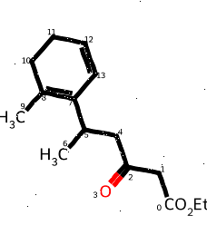 CCOC(=O)CC(=O)CC(C)C1=C(C)CCC=C1